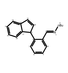 CCCCN=Cc1ccccc1C1C=Cc2ccccc21